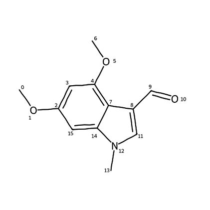 COc1cc(OC)c2c(C=O)cn(C)c2c1